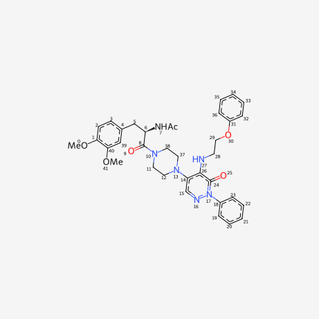 COc1ccc(C[C@@H](NC(C)=O)C(=O)N2CCN(c3cnn(-c4ccccc4)c(=O)c3NCCOc3ccccc3)CC2)cc1OC